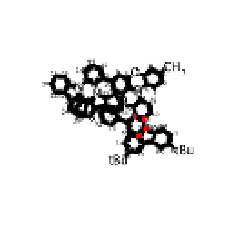 Cc1ccc2c(c1)Oc1cc(-c3cccc(-n4c5ccccc5c5ccccc54)c3-n3c4ccccc4c4ccccc43)cc3c1B2c1ccc(-n2c4ccc(C(C)(C)C)cc4c4cc(C(C)(C)C)ccc42)cc1N3c1ccccc1-c1ccccc1